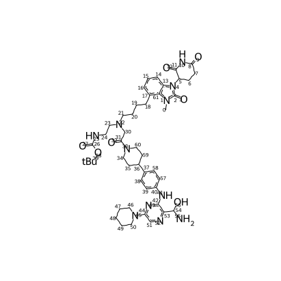 Cn1c(=O)n(C2CCC(=O)NC2=O)c2cccc(CCCCN(CCNC(=O)OC(C)(C)C)CC(=O)N3CCC(c4ccc(Nc5nc(N6CCCCC6)cnc5C(N)O)cc4)CC3)c21